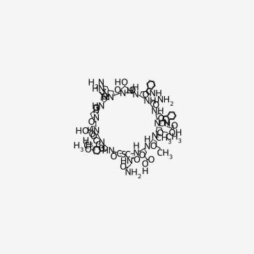 CCCC[C@H]1C(=O)N(C)[C@@H](CCCC)C(=O)N[C@@H](CCC(=O)O)C(=O)N[C@H](C(=O)NCC(N)=O)CSCC(=O)N[C@@H](Cc2ccc(OC)cc2)C(=O)N(C)[C@@H](C)C(=O)N[C@@H](CC(=O)O)C(=O)N2CCC[C@H]2C(=O)N[C@@H](Cc2c[nH]cn2)C(=O)N[C@@H](CCCCN)C(=O)N2C[C@H](O)C[C@H]2C(=O)N[C@@H](Cc2c[nH]c3ccccc23)C(=O)N[C@@H](CCN)C(=O)N[C@@H](Cc2cn(CC(=O)O)c3ccccc23)C(=O)N1C